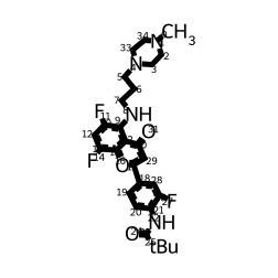 CN1CCN(CCCNc2c(F)cc(F)c3oc(-c4ccc(NC(=O)C(C)(C)C)c(F)c4)cc(=O)c23)CC1